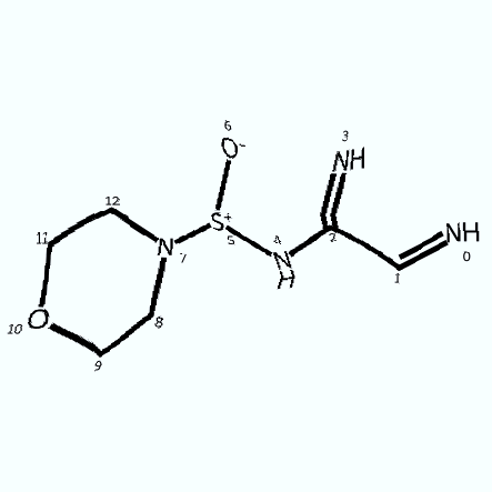 N=CC(=N)N[S+]([O-])N1CCOCC1